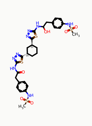 CS(=O)(=O)Nc1ccc(CC(=O)Nc2nnc([C@H]3CCC[C@H](c4nnc(NC(O)Cc5ccc(NS(C)(=O)=O)cc5)s4)C3)s2)cc1